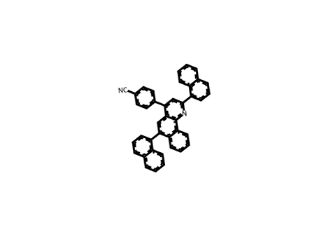 N#Cc1ccc(-c2cc(-c3cccc4ccccc34)nc3c2cc(-c2cccc4ccccc24)c2ccccc23)cc1